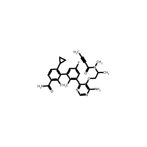 CC#CC(=O)N(C)C(C)COc1c(N)ncnc1-c1cc(F)cc(-c2c(C3CC3)ccc(C(N)=O)c2F)c1C